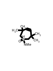 CN[SH]1(=O)CC(C)(C)C#CC(C)(C)C1